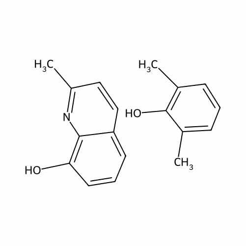 Cc1ccc2cccc(O)c2n1.Cc1cccc(C)c1O